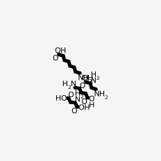 NCCC(N)C(=O)O.NCCCCC(=O)O.NCCCCCCCC(=O)O.N[C@@H](CC(=O)O)C(=O)O